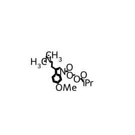 COc1ccc2c(CCN(C)C)cn(C(=O)OCOC(=O)C(C)C)c2c1